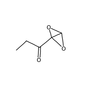 CCC(=O)C12OC1O2